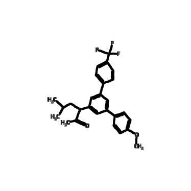 COc1ccc(-c2cc(-c3ccc(C(F)(F)F)cc3)cc(C(CC(C)C)C(C)=O)c2)cc1